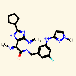 C=Nc1nc(C2CCCC2)[nH]c1/C(=N\C)C(=O)NCc1cc(F)cc(Nc2ccn(C)n2)c1